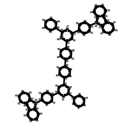 c1ccc(-c2nc(-c3ccc(-c4ccc(-c5cc(-c6ccc(-n7c8ccccc8c8ccccc87)cc6)nc(-c6ccccc6)n5)cc4)cc3)cc(-c3ccc(-n4c5ccccc5c5ccccc54)cc3)n2)cc1